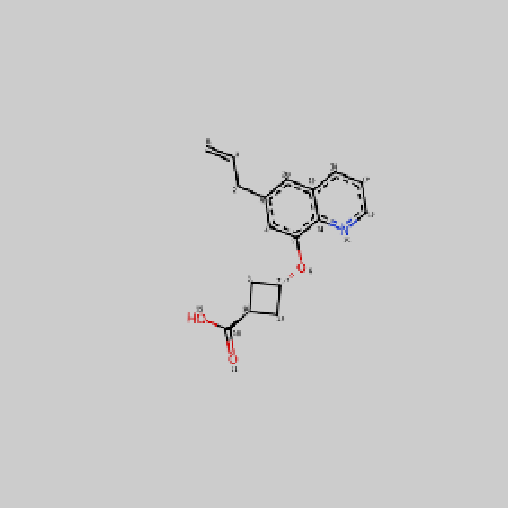 C=CCc1cc(O[C@H]2C[C@H](C(=O)O)C2)c2ncccc2c1